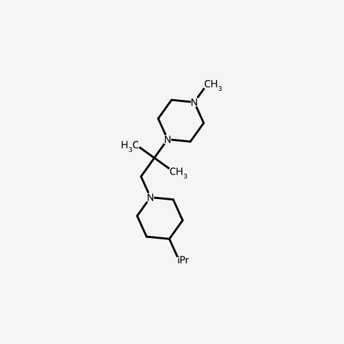 CC(C)C1CCN(CC(C)(C)N2CCN(C)CC2)CC1